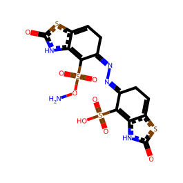 NOS(=O)(=O)C1=c2[nH]c(=O)sc2=CCC1=NN=C1CC=c2sc(=O)[nH]c2=C1S(=O)(=O)O